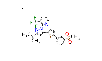 C=C(C)c1cc(-c2ccc(-c3cccc(S(C)(=O)=O)c3)s2)n(-c2ncccc2C(F)(F)F)n1